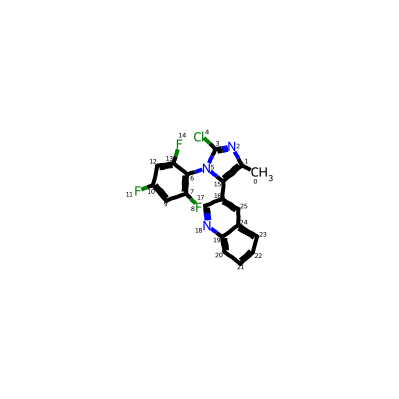 Cc1nc(Cl)n(-c2c(F)cc(F)cc2F)c1-c1cnc2ccccc2c1